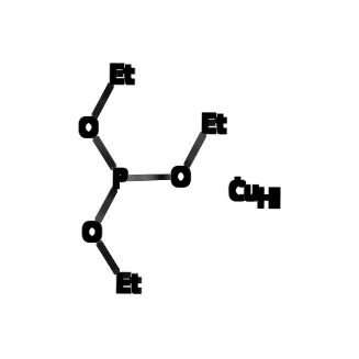 CCOP(OCC)OCC.I.[Cu]